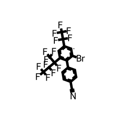 N#Cc1ccc(-c2c(Br)[c]c(C(F)(F)C(F)(F)F)cc2C(F)(C(F)(F)F)C(F)(F)C(F)(F)F)cc1